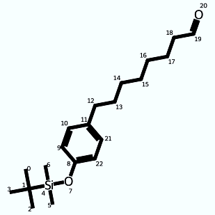 CC(C)(C)[Si](C)(C)Oc1ccc(CCCCCCCC=O)cc1